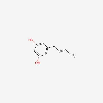 CC=CCc1cc(O)cc(O)c1